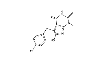 C=C1NC(=C)N(C)c2nc(S)n(Cc3ccc(Cl)cc3)c21